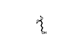 COC(CC[CH]CO)OC